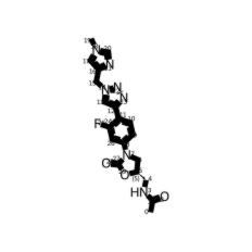 CC(=O)NC[C@H]1CN(c2ccc(-c3cn(Cc4cn(C)cn4)nn3)c(F)c2)C(=O)O1